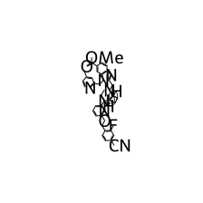 COC(=O)c1ccc2nc(CN3CCN(c4cccc(OCc5ccc(C#N)cc5F)n4)[C@H]4CC[C@H]43)n(Cc3cc(C)ccn3)c2c1